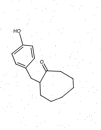 O=C1CCCCCCC1Cc1ccc(O)cc1